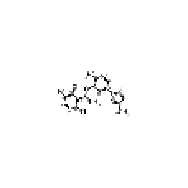 Cc1ccn(-c2cnc(N)c(OC(C)c3c(Cl)ccc(F)c3Cl)c2)n1